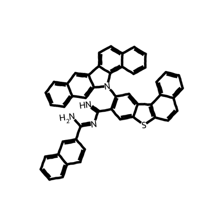 N=C(/N=C(\N)c1ccc2ccccc2c1)c1cc2sc3ccc4ccccc4c3c2cc1-n1c2cc3ccccc3cc2c2ccc3ccccc3c21